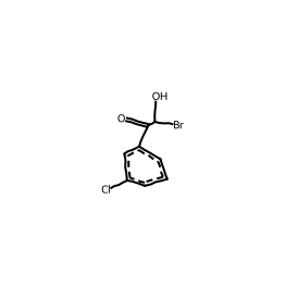 O=C(c1cccc(Cl)c1)C(O)Br